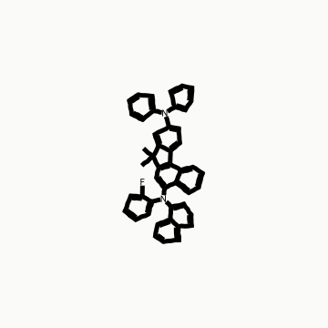 CC1(C)c2cc(N(c3ccccc3)c3ccccc3)ccc2-c2c1cc(N(c1ccccc1F)c1cccc3ccccc13)c1ccccc21